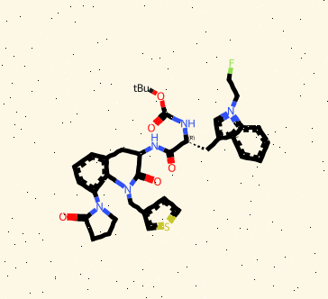 CC(C)(C)OC(=O)N[C@H](Cc1cn(CCF)c2ccccc12)C(=O)NC1Cc2cccc(N3CCCC3=O)c2N(Cc2ccsc2)C1=O